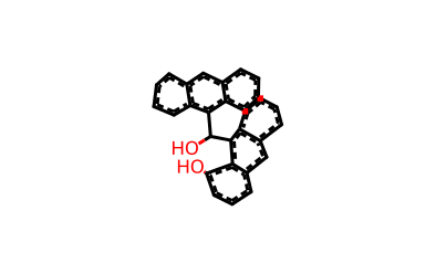 Oc1cccc2cc3ccccc3c(C(O)c3c4ccccc4cc4ccccc34)c12